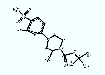 CC1CN(c2ccc(S(C)(=O)=O)c(F)c2)CCN1C(=O)OC(C)(C)C